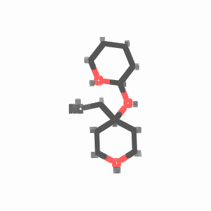 N#CCC1(OC2CCCCO2)CCOCC1